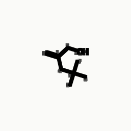 C=C(CO)CC(C)(C)C